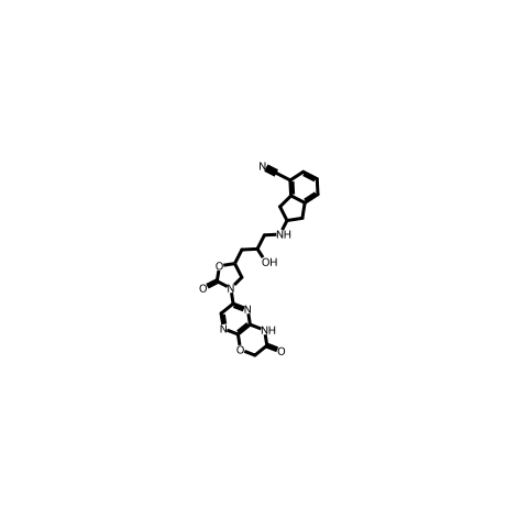 N#Cc1cccc2c1CC(NCC(O)CC1CN(c3cnc4c(n3)NC(=O)CO4)C(=O)O1)C2